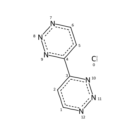 [C].c1cc(-c2ccnnn2)nnn1